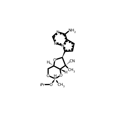 CC(C)O[PH]1(C)OC[C@H]2O[C@@H](c3ccc4c(N)ncnn34)[C@](C)(C#N)[C@@H]2O1